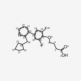 O=C(O)CCCOc1c(F)cc(-c2cccnc2CC2CCCC2)cc1F